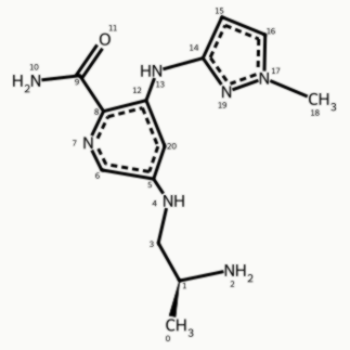 C[C@H](N)CNc1cnc(C(N)=O)c(Nc2ccn(C)n2)c1